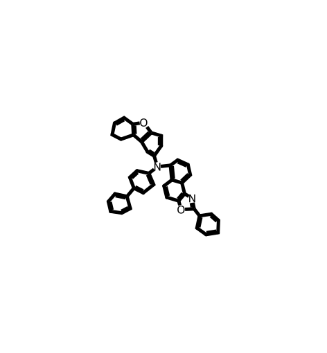 C1=Cc2oc3ccc(N(c4ccc(-c5ccccc5)cc4)c4cccc5c4ccc4oc(-c6ccccc6)nc45)cc3c2CC1